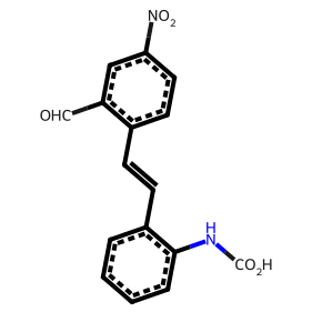 O=Cc1cc([N+](=O)[O-])ccc1C=Cc1ccccc1NC(=O)O